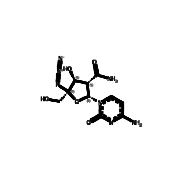 [N-]=[N+]=N[C@]1(CO)O[C@@H](n2ccc(N)nc2=O)[C@@H](C(N)=O)[C@@H]1O